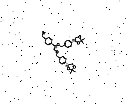 CC1(C)OC[C@@H](c2ccc(COC[C@H](OCc3ccc([C@@H]4COC(C)(C)O4)cc3)c3ccc(CBr)cc3)cc2)O1